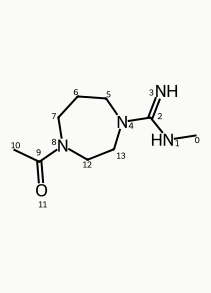 CNC(=N)N1CCCN(C(C)=O)CC1